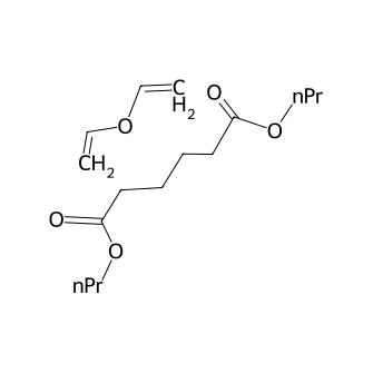 C=COC=C.CCCOC(=O)CCCCC(=O)OCCC